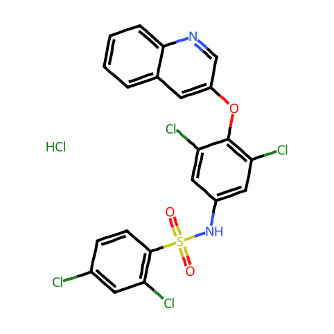 Cl.O=S(=O)(Nc1cc(Cl)c(Oc2cnc3ccccc3c2)c(Cl)c1)c1ccc(Cl)cc1Cl